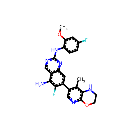 COc1cc(F)ccc1Nc1ncc2c(N)c(F)c(-c3cnc4c(c3C)NCCO4)cc2n1